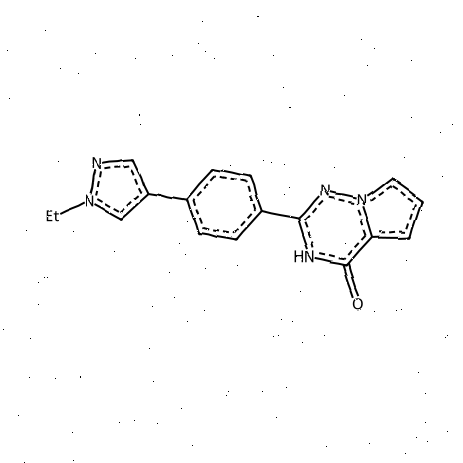 CCn1cc(-c2ccc(-c3nn4cccc4c(=O)[nH]3)cc2)cn1